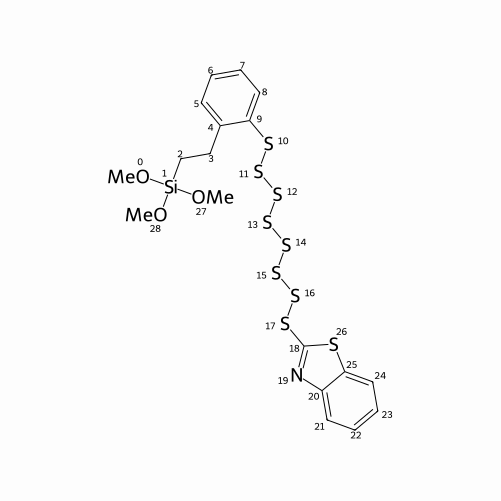 CO[Si](CCc1ccccc1SSSSSSSSc1nc2ccccc2s1)(OC)OC